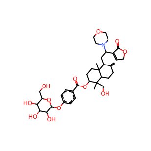 C=C1CCC2C(C)(CO)C(OC(=O)c3ccc(OC4OC(CO)C(O)C(O)C4O)cc3)CCC2(C)C1CC(C1=CCOC1=O)N1CCOCC1